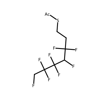 CC(=O)SCCC(F)(F)C(F)C(F)(F)C(F)(F)CF